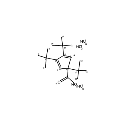 CC(C)(C)C1=NC(C(=O)O)(C(C)(C)C)N=C1C(C)(C)C.Cl.Cl.Cl